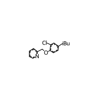 CCC(C)c1ccc(OCc2ccccn2)c(Cl)c1